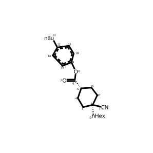 CCCCCC[C@]1(C#N)CC[C@H](C(=O)Oc2ccc(CCCC)cc2)CC1